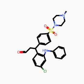 CN1CCN(S(=O)(=O)c2ccc(C(CC=O)c3ccc(Cl)cc3Nc3ccccc3)cc2)CC1